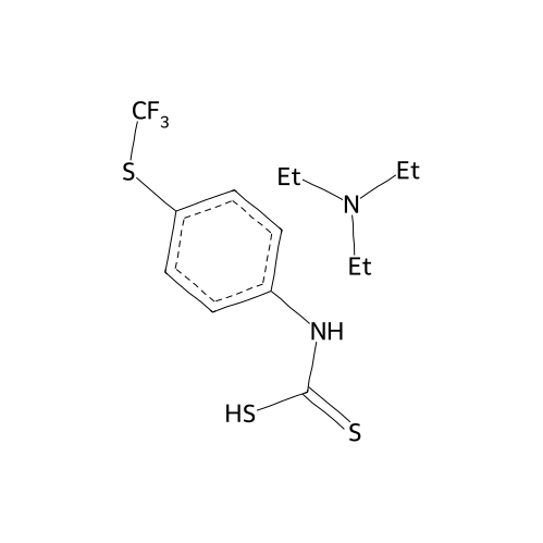 CCN(CC)CC.FC(F)(F)Sc1ccc(NC(=S)S)cc1